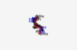 COC(=O)N[C@H](C(=O)N1CCC[C@H]1c1nc(-c2ccc3c(c2)OC(c2ccc(C)s2)n2c-3cc3cc(-c4c[nH]c([C@@H]5NCCN5C(=O)[C@@H](NC(=O)OC)C(C)C)n4)ccc32)c[nH]1)C(C)C